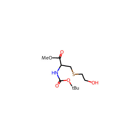 COC(=O)C(CSCCO)NC(=O)OC(C)(C)C